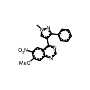 COc1cc2ncnc(-c3cn(C)nc3-c3ccccc3)c2cc1[N+](=O)[O-]